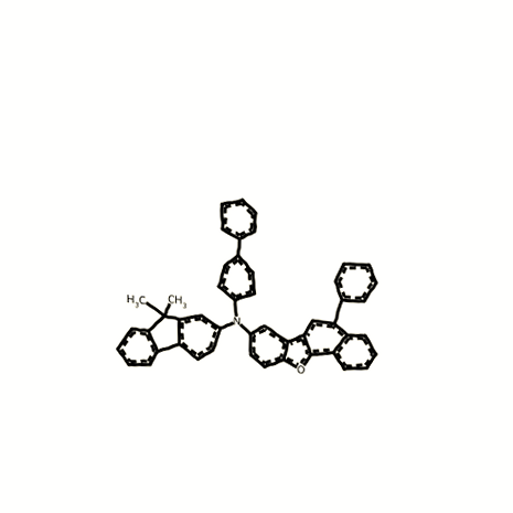 CC1(C)c2ccccc2-c2ccc(N(c3ccc(-c4ccccc4)cc3)c3ccc4oc5c6ccccc6c(-c6ccccc6)cc5c4c3)cc21